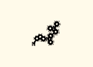 N#Cc1ccc2ccc3cc(-n4c5ccccc5c5cc(-c6cccc7c6c6ccccc6n7-c6ccccc6)ccc54)ccc3c2c1